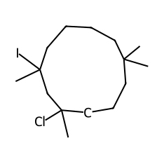 CC1(C)CCCCC(C)(I)CC(C)(Cl)CCC1